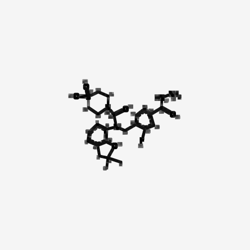 CC1(C)Cc2cccc(N(Cc3ccc(C(=O)NN)cc3F)C(=O)N3CCS(=O)(=O)CC3)c2O1